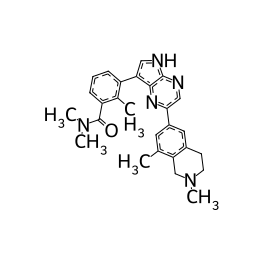 Cc1cc(-c2cnc3[nH]cc(-c4cccc(C(=O)N(C)C)c4C)c3n2)cc2c1CN(C)CC2